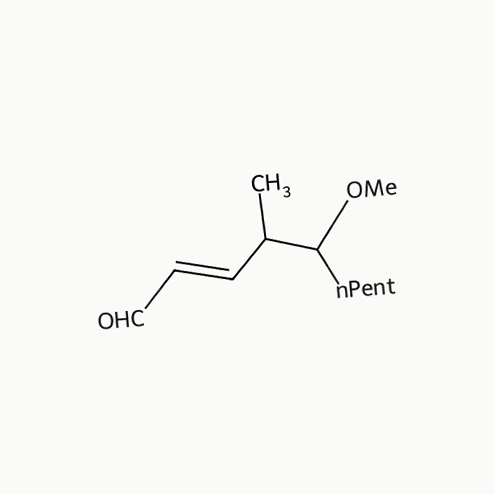 CCCCCC(OC)C(C)C=CC=O